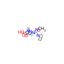 CON=C1CN(c2nc3c(cc2F)c(=O)c(C(=O)O)cn3C2CC2)CC1CN=C1C=CC=C2C=CC=CC21